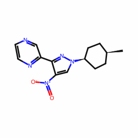 C[C@H]1CC[C@@H](n2cc([N+](=O)[O-])c(-c3cnccn3)n2)CC1